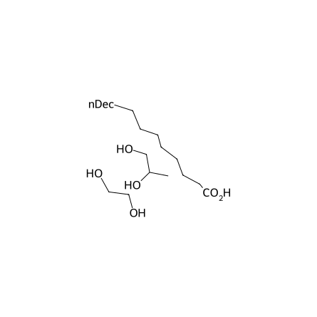 CC(O)CO.CCCCCCCCCCCCCCCCCC(=O)O.OCCO